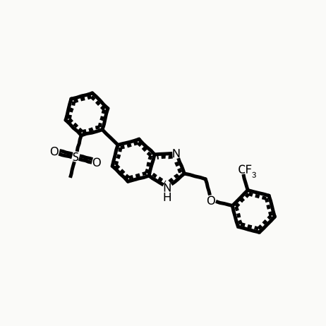 CS(=O)(=O)c1ccccc1-c1ccc2[nH]c(COc3ccccc3C(F)(F)F)nc2c1